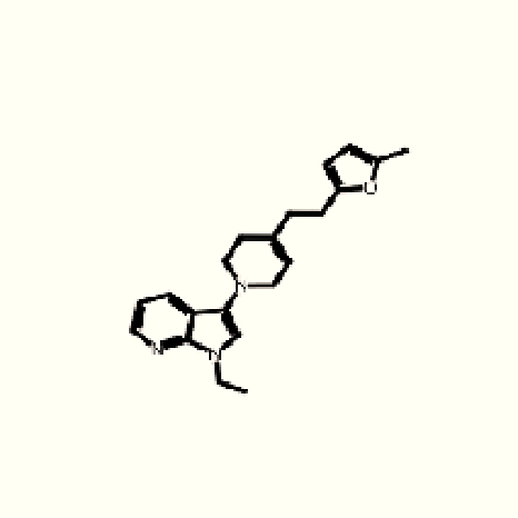 CCn1cc(N2CC=C(CCc3ccc(C)o3)CC2)c2cccnc21